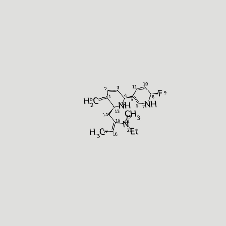 C=C1C=C[C@@H](C2=CN[C@H](F)C=C2)N[C@H]1C/C(=C\C)N(C)CC